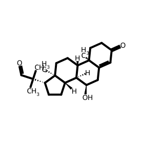 CC(C)(C=O)[C@H]1CC[C@H]2[C@@H]3[C@H](O)CC4=CC(=O)CC[C@]4(C)[C@H]3CC[C@]12C